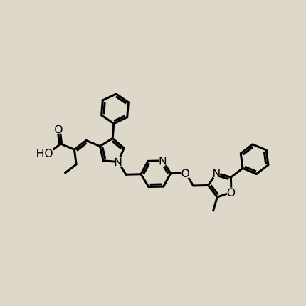 CCC(=Cc1cn(Cc2ccc(OCc3nc(-c4ccccc4)oc3C)nc2)cc1-c1ccccc1)C(=O)O